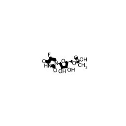 CP(=O)(O)OC[C@H]1O[C@@H](n2cc(F)c(=O)[nH]c2=O)[C@H](O)[C@@H]1O